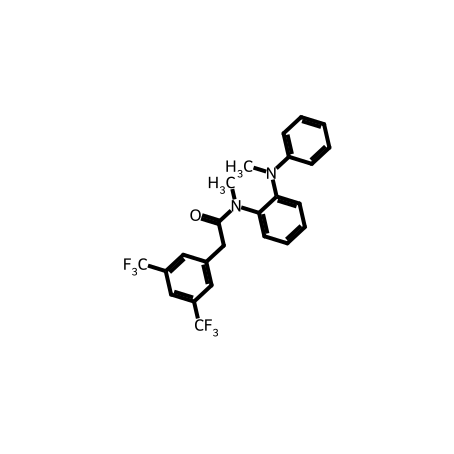 CN(C(=O)Cc1cc(C(F)(F)F)cc(C(F)(F)F)c1)c1ccccc1N(C)c1ccccc1